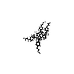 CCCCc1ccc(C(=O)Nc2c(C)c(OC(=O)c3ccc(CCCC)cc3)c3c(c2NC(=O)c2ccc(CCCC)cc2)C(=O)c2cccc(OC(=O)c4ccc(CCCC)cc4)c2C3=O)cc1